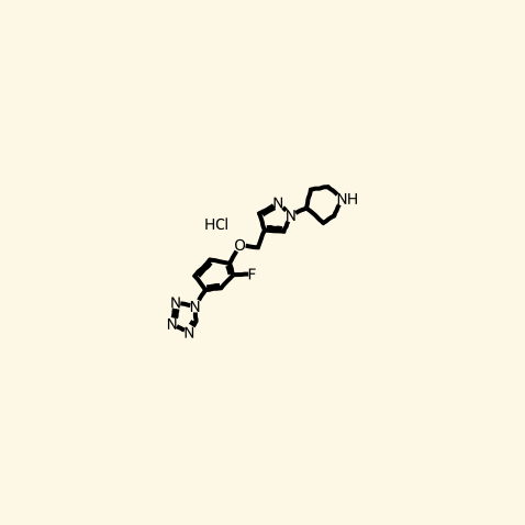 Cl.Fc1cc(-n2cnnn2)ccc1OCc1cnn(C2CCNCC2)c1